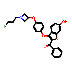 O=C(c1ccccc1)c1sc2cc(O)ccc2c1Oc1ccc(OC2CN(CCCF)C2)cc1